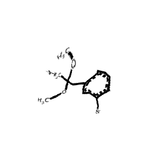 [CH2]C(OC)(OC)c1cccc(Br)c1